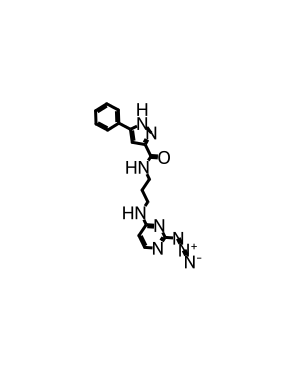 [N-]=[N+]=Nc1nccc(NCCCNC(=O)c2cc(-c3ccccc3)[nH]n2)n1